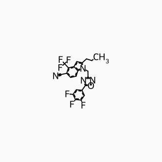 CCCc1cc2c(C(F)(F)F)c(C#N)ccc2n1Cc1noc(-c2cc(F)c(F)c(F)c2)n1